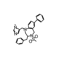 Cn1cncc1CN1CC(Cc2ccccc2)N(S(C)(=O)=O)Cc2cc(-c3ccccc3)ccc21